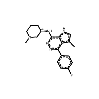 Cc1c[nH]c2c(N[C@@H]3CCCN(C)C3)nnc(-c3ccc(F)cc3)c12